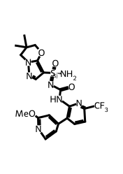 COc1cc(-c2ccc(C(F)(F)F)nc2NC(=O)N=[S@](N)(=O)c2cnn3c2OCC(C)(C)C3)ccn1